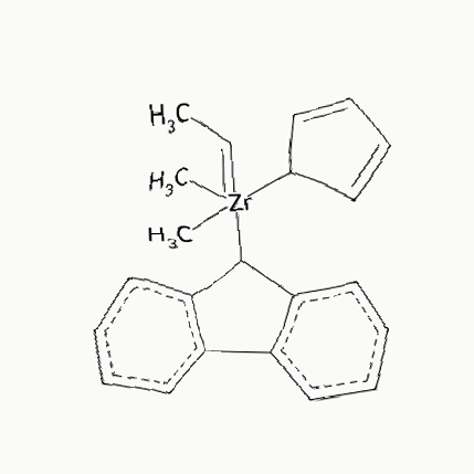 C[CH]=[Zr]([CH3])([CH3])([CH]1C=CC=C1)[CH]1c2ccccc2-c2ccccc21